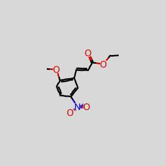 CCOC(=O)C=Cc1cc([N+](=O)[O-])ccc1OC